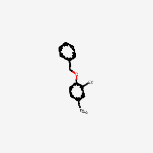 CCc1cc(C(C)(C)C)ccc1OCc1ccccc1